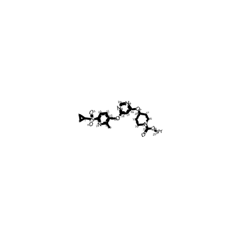 Cc1nc(S(=O)(=O)C2CC2)ccc1Oc1cc(OC2CCN(C(=O)OC(C)C)CC2)ncn1